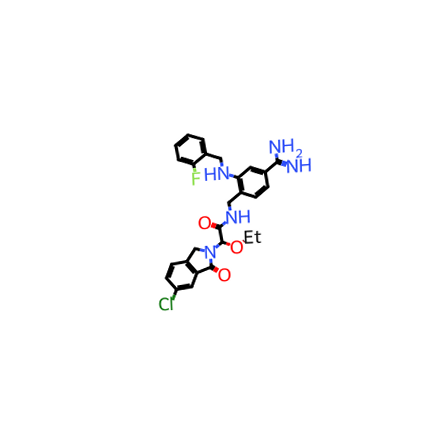 CCOC(C(=O)NCc1ccc(C(=N)N)cc1NCc1ccccc1F)N1Cc2ccc(Cl)cc2C1=O